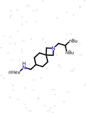 CCCCCCNCC1CCC2(CC1)CN(CC(CCCC)CCCC)C2